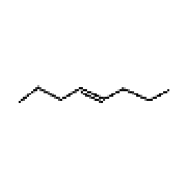 C[CH]C/C=C/CCC